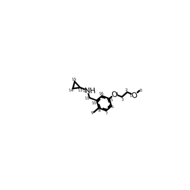 COCCOc1ccc(C)c(CNC2CC2)c1